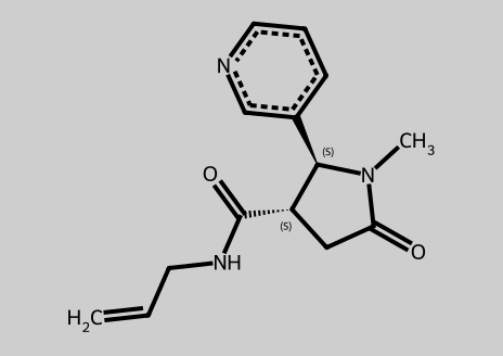 C=CCNC(=O)[C@H]1CC(=O)N(C)[C@@H]1c1cccnc1